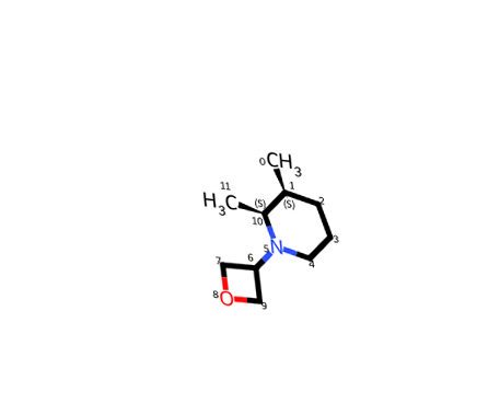 C[C@H]1CCCN(C2COC2)[C@H]1C